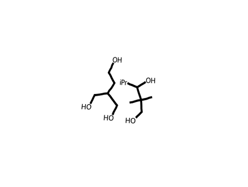 CC(C)C(O)C(C)(C)CO.OCCC(CO)CO